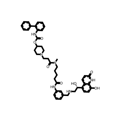 CN(CCCCC(=O)Nc1cccc(CNC[C@H](O)c2ccc(O)c3[nH]c(=O)ccc23)c1)C(=O)CCN1CCC(OC(=O)Nc2ccccc2-c2ccccc2)CC1